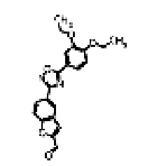 CCOc1ccc(-c2nc(-c3ccc4oc(C=O)cc4c3)no2)cc1OCC